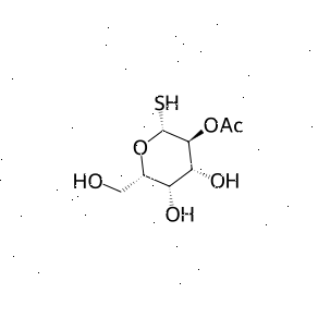 CC(=O)O[C@H]1[C@H](O)[C@H](O)[C@H](CO)O[C@@H]1S